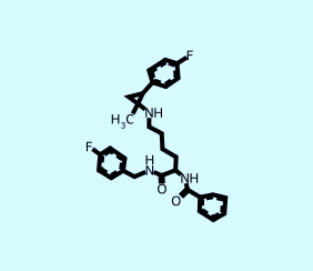 CC1(NCCCCC(NC(=O)c2ccccc2)C(=O)NCc2ccc(F)cc2)CC1c1ccc(F)cc1